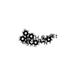 CCOc1ccc2nc(COc3ccc(CC4SC(=O)N(C(c5ccccc5)(c5ccccc5)c5ccccc5)C4=O)cc3)n(C)c2n1